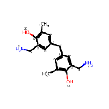 Cc1cc(Cc2cc(C)c(O)c(CN)c2)cc(CN)c1O